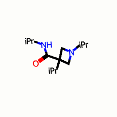 CC(C)NC(=O)C1(C(C)C)CN(C(C)C)C1